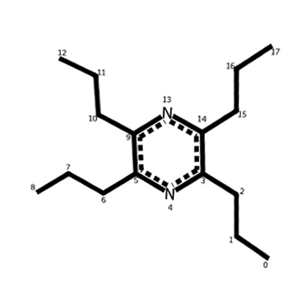 CCCc1nc(CCC)c(CCC)nc1CCC